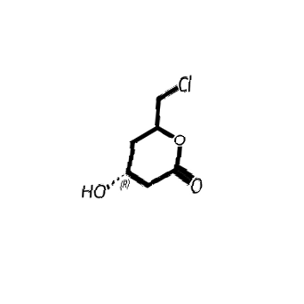 O=C1C[C@H](O)CC(CCl)O1